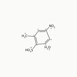 Cc1cc([N+](=O)[O-])ccc1S(=O)(=O)O.O